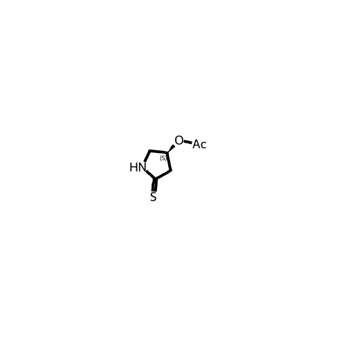 CC(=O)O[C@@H]1CNC(=S)C1